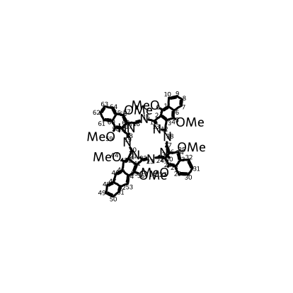 COc1c2c(c(OC)c3ccccc13)-c1nc-2nc2[nH]c(nc3nc(nc4c5c(OC)c6ccccc6c(OC)c5c(n1)n4C)-c1c-3c(OC)c3cc4ccccc4cc3c1OC)c1c(OC)c3ccccc3c(OC)c21